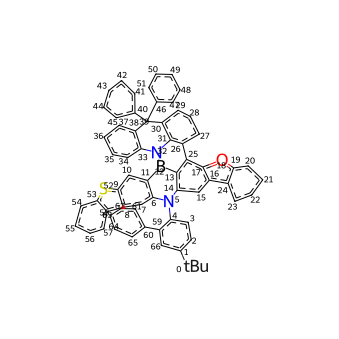 CC(C)(C)c1ccc(N2c3cc4c(cc3B3c5c2cc2c(oc6ccccc62)c5-c2cccc5c2N3c2ccccc2C5(c2ccccc2)c2ccccc2)sc2ccccc24)c(-c2ccccc2)c1